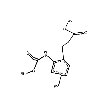 CC(C)OC(=O)CCc1ccc(C(C)C)cc1NC(=O)OC(C)(C)C